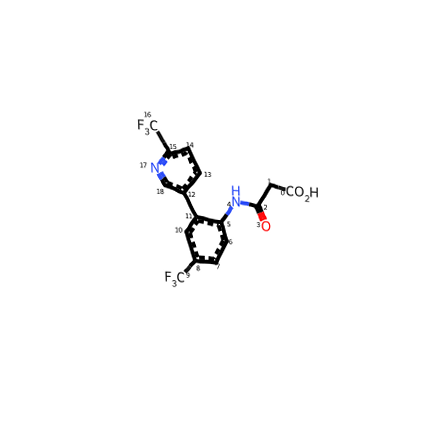 O=C(O)CC(=O)Nc1ccc(C(F)(F)F)cc1-c1ccc(C(F)(F)F)nc1